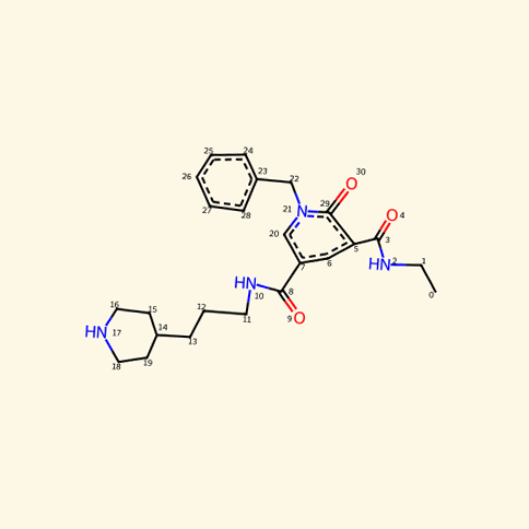 CCNC(=O)c1cc(C(=O)NCCCC2CCNCC2)cn(Cc2ccccc2)c1=O